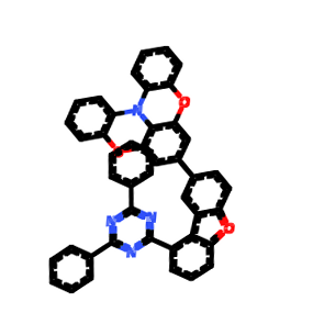 c1ccc(-c2nc(-c3ccccc3)nc(-c3cccc4oc5ccc(-c6cc7c8c(c6)Oc6ccccc6N8c6ccccc6O7)cc5c34)n2)cc1